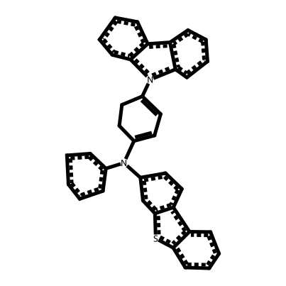 C1=C(N(c2ccccc2)c2ccc3c(c2)sc2ccccc23)CCC(n2c3ccccc3c3ccccc32)=C1